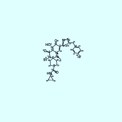 CCN1C(=O)c2c(O)c(=O)c(-c3nnc(Cc4ccc(F)cc4)s3)cn2N(C)C12CCC(C(=O)NC1CC1)CC2